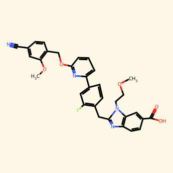 COCCn1c(Cc2ccc(-c3cccc(OCc4ccc(C#N)cc4OC)n3)cc2F)nc2ccc(C(=O)O)cc21